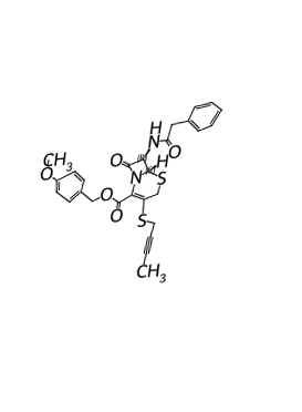 CC#CCSC1=C(C(=O)OCc2ccc(OC)cc2)N2C(=O)[C@@H](NC(=O)Cc3ccccc3)[C@@H]2SC1